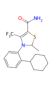 CC1SC(C(N)=O)=C(C(F)(F)F)N1c1ccccc1C1CCCCC1